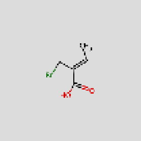 C/C=C(\CBr)C(=O)O